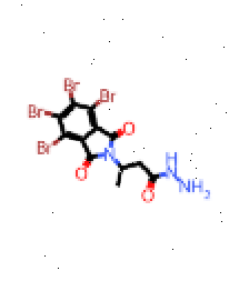 CC(CC(=O)NN)N1C(=O)c2c(Br)c(Br)c(Br)c(Br)c2C1=O